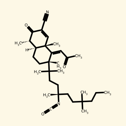 CCCC(C)(C)CC[C@@](C)(CCC(C)(C)[C@]1(C)CC[C@H]2[C@H](C)C(=O)C(C#N)=C[C@]2(C)/C1=C/C(C)=O)N=C=O